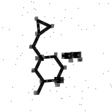 CC1CN(CC2CC2)CCN1.Cl.Cl